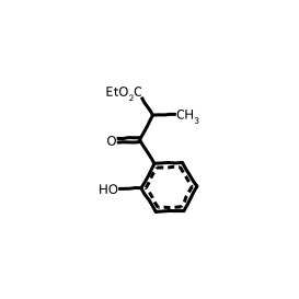 CCOC(=O)C(C)C(=O)c1ccccc1O